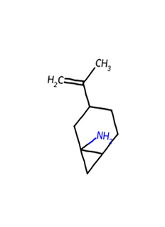 C=C(C)C1CCC2CC2(N)C1